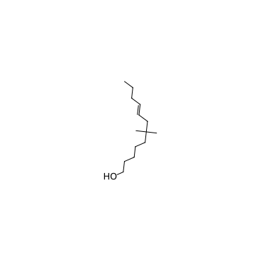 CCCC=CCC(C)(C)CCCCCO